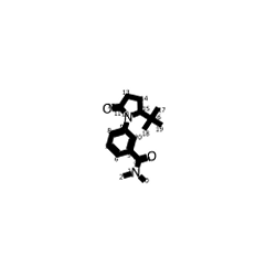 CN(C)C(=O)c1cccc(N2C(=O)CCC2C(C)(C)C)c1